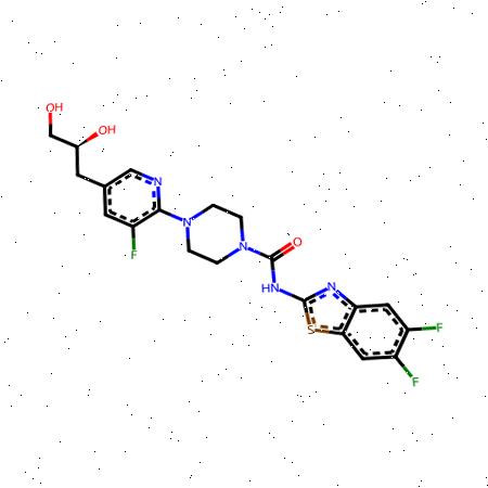 O=C(Nc1nc2cc(F)c(F)cc2s1)N1CCN(c2ncc(C[C@H](O)CO)cc2F)CC1